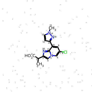 CC(C(=O)O)c1cn2cc(Cl)cc(-c3ccn(C)n3)c2n1